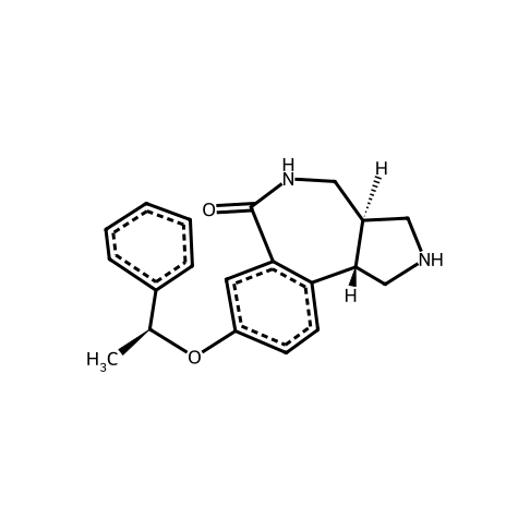 C[C@H](Oc1ccc2c(c1)C(=O)NC[C@H]1CNC[C@H]21)c1ccccc1